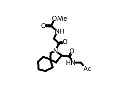 COC(=O)NCC(=O)N1CC2(CCCCC2)CC1C(=O)NCC(C)=O